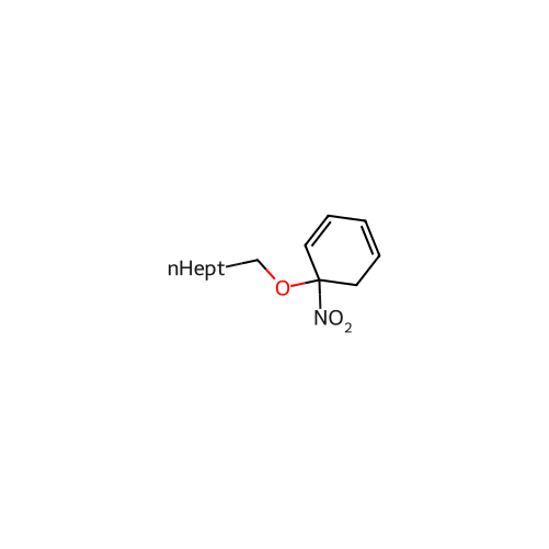 CCCCCCCCOC1([N+](=O)[O-])C=CC=CC1